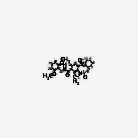 CCN1C(=O)Cc2ccccc2[S+]([O-])c2ccc(C(=O)NCc3c(OC)cccc3OC)cc21